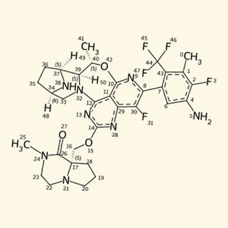 Cc1c(F)c(N)cc(-c2nc3c4c(nc(OC[C@]56CCCN5CCN(C)C6=O)nc4c2F)N2C[C@H]4CC[C@H](N4)[C@H]2[C@H](C)O3)c1C(F)(F)F